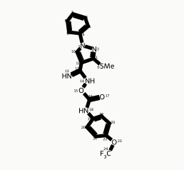 CSc1nn(-c2ccccc2)cc1C(=N)NOC(=O)Nc1ccc(OC(F)(F)F)cc1